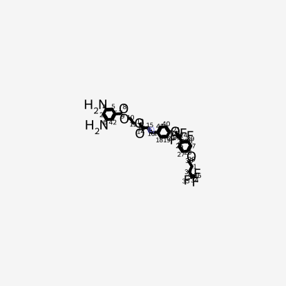 Nc1cc(N)cc(C(=O)OCCOC(=O)/C=C/c2ccc(OC(F)(F)c3ccc(OCCCC(F)(F)F)cc3F)cc2)c1